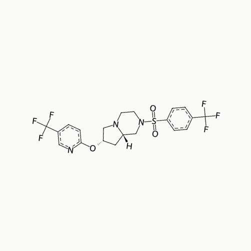 O=S(=O)(c1ccc(C(F)(F)F)cc1)N1CCN2C[C@@H](Oc3ccc(C(F)(F)F)cn3)C[C@H]2C1